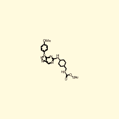 COc1ccc(-n2nnc3cnc(NC4CCC(CNC(=O)OC(C)(C)C)CC4)nc32)cc1